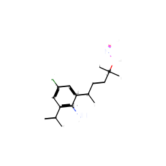 CC(C)c1cc(Cl)cc(C(C)CCC(C)(C)ON=O)c1N